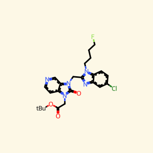 CC(C)(C)OC(=O)Cn1c(=O)n(Cc2nc3cc(Cl)ccc3n2CCCCF)c2cnccc21